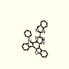 c1ccc(-n2c3ccccc3c3c4oc5ccccc5c4c4nnc(-c5ncc6ccccc6n5)nc4c32)cc1